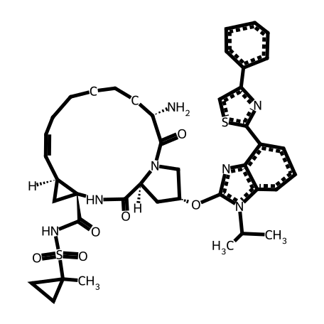 CC(C)n1c(O[C@@H]2C[C@H]3C(=O)N[C@]4(C(=O)NS(=O)(=O)C5(C)CC5)C[C@H]4/C=C\CCCCC[C@H](N)C(=O)N3C2)nc2c(-c3nc(-c4ccccc4)cs3)cccc21